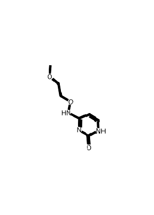 COCCONc1cc[nH]c(=O)n1